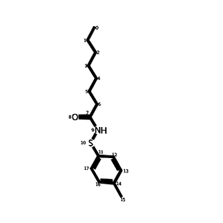 CCCCCCCC(=O)NSc1ccc(C)cc1